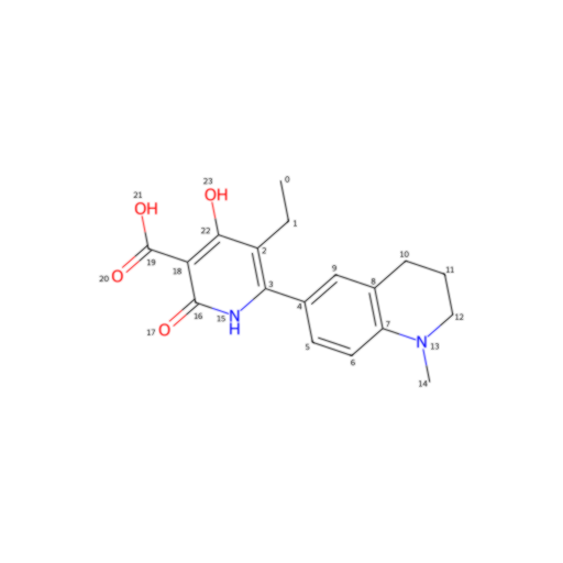 CCc1c(-c2ccc3c(c2)CCCN3C)[nH]c(=O)c(C(=O)O)c1O